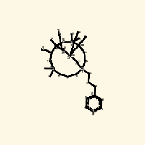 CCC1O[Si](C)(C)CCC[Si]2(CCCc3ccncc3)CCC[Si](C)(C)OC(CC)C1(C)O[Si](C)(C)CCC2